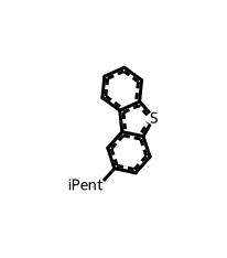 CCCC(C)c1ccc2sc3ccccc3c2c1